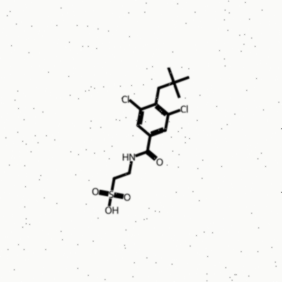 CC(C)(C)Cc1c(Cl)cc(C(=O)NCCS(=O)(=O)O)cc1Cl